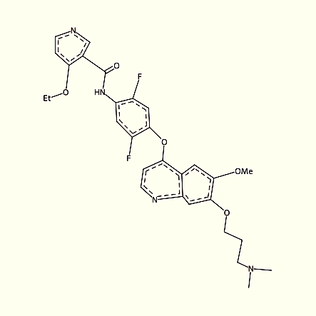 CCOc1ccncc1C(=O)Nc1cc(F)c(Oc2ccnc3cc(OCCCN(C)C)c(OC)cc23)cc1F